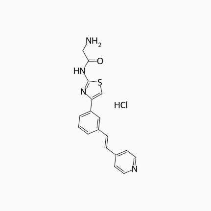 Cl.NCC(=O)Nc1nc(-c2cccc(C=Cc3ccncc3)c2)cs1